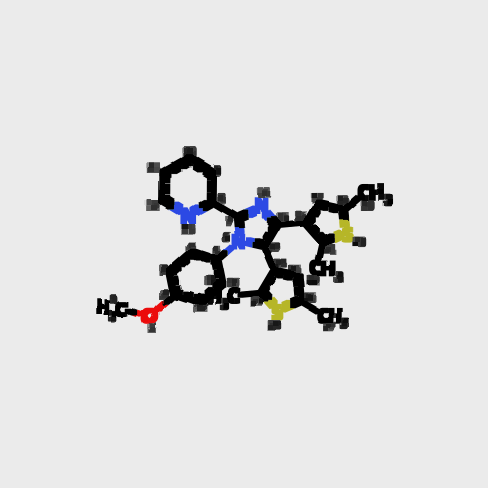 COc1ccc(-n2c(-c3ccccn3)nc(-c3cc(C)sc3C)c2-c2cc(C)sc2C)cc1